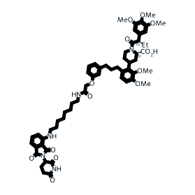 CC[C@H](C(=O)N1CCC(c2c(CCCc3cccc(OCC(=O)NCCCCCCCCNc4cccc5c4C(=O)N(C4CCC(=O)NC4=O)C5=O)c3)ccc(OC)c2OC)C[C@H]1C(=O)O)c1cc(OC)c(OC)c(OC)c1